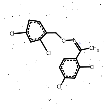 C/C(=N/OCc1ccc(Cl)cc1Cl)c1ccc(Cl)cc1Cl